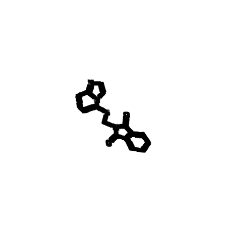 O=C1c2ccccc2C(=O)N1CSc1cccc2nccn12